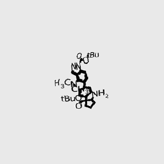 CN(C)c1c(-c2ccc(C3(C(=O)OC(C)(C)C)CCCC3N)cc2)ccc2c1cnn2C(=O)OC(C)(C)C